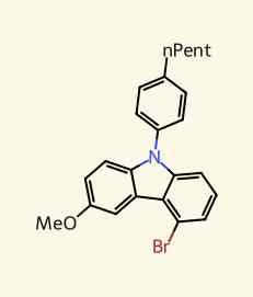 CCCCCc1ccc(-n2c3ccc(OC)cc3c3c(Br)cccc32)cc1